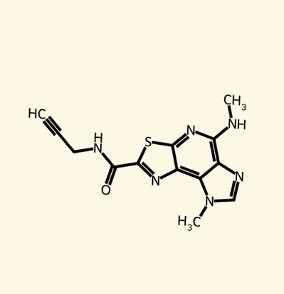 C#CCNC(=O)c1nc2c(nc(NC)c3ncn(C)c32)s1